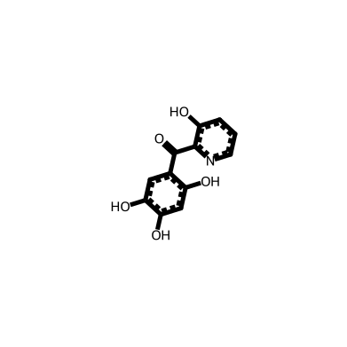 O=C(c1cc(O)c(O)cc1O)c1ncccc1O